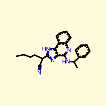 CCCCC(C#N)c1nc2c(NC(C)c3ccccc3)nc3ccccc3c2[nH]1